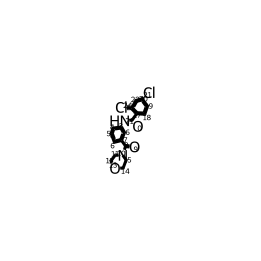 O=C(Nc1c[c]cc(C(=O)N2CCOCC2)c1)c1ccc(Cl)cc1Cl